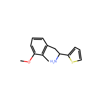 COc1cccc(CC(N)c2cccs2)c1C